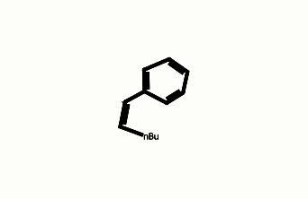 CCCC/C=[C]\c1ccccc1